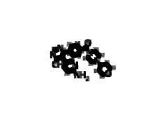 Cc1ncnc(-c2ccc(C(=O)N3CCN(C4CCOCC4)CC3)cc2)c1-c1ccc(N)nc1